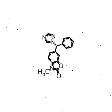 Cn1c(=O)oc2cc(C(c3ccccc3)n3cncn3)ccc21